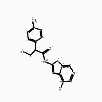 Cc1ccc(C(CN)C(=O)Nc2cc3c(Cl)cncc3s2)cc1